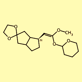 COC(=C[C@H]1CCC2CC3(CC21)OCCO3)OC1CCCCO1